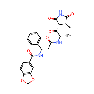 CC(C)[C@H](NC(=O)C[C@H](NC(=O)c1ccc2c(c1)OCO2)c1ccccc1)C(=O)[C@@H]1C(=O)NC(=O)[C@H]1C